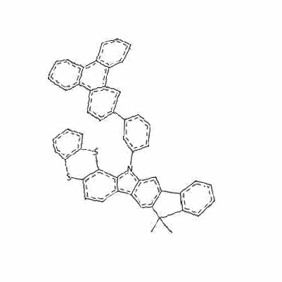 CC1(C)c2ccccc2-c2cc3c(cc21)c1ccc2c(c1n3-c1cccc(-c3ccc4c5ccccc5c5ccccc5c4c3)c1)Sc1ccccc1S2